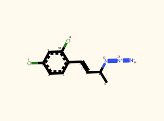 CC(/C=C/c1ccc(Cl)cc1Cl)N=[N+]=[N-]